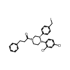 O=C(CCc1ccccc1)N1CCN(c2ccc(Cl)cc2Cl)[C@H](c2ccc(CI)cc2)C1